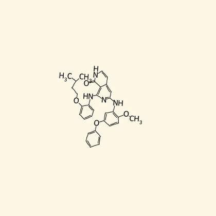 COc1ccc(Oc2ccccc2)cc1Nc1cc2cc[nH]c(=O)c2c(Nc2ccccc2OCCC(C)C)n1